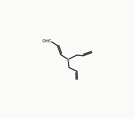 C=CCN(C=CC=O)CC=C